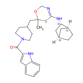 CC1(CC2CCN(C(=O)c3cc4ccccc4[nH]3)CC2)OCN=C(N[C@H]2C[C@@H]3CC[C@H]2C3)S1